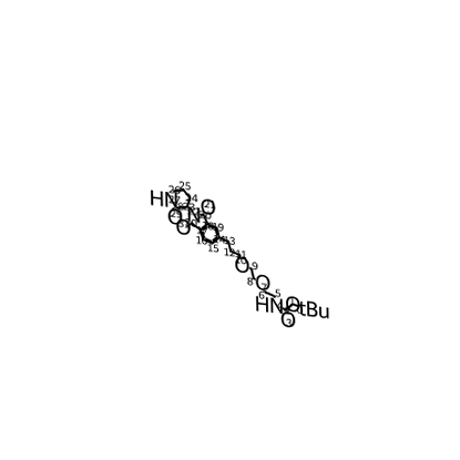 CC(C)(C)OC(=O)NCCOCCOCCCc1ccc2c(c1)C(=O)N(C1CCCNC1=O)C2=O